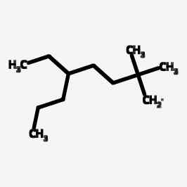 [CH2]C(C)(C)CCC(CC)CCC